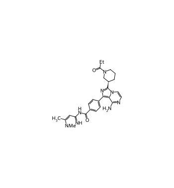 CCC(=O)N1CCC[C@@H](c2nc(-c3ccc(C(=O)NC(=N)/C=C(/C)NC)cc3)c3c(N)nccn23)C1